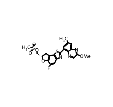 COc1cnc2c(-c3nc4cc(F)c5c(c4s3)C[C@@H](COS(C)(=O)=O)O5)cc(C)cc2n1